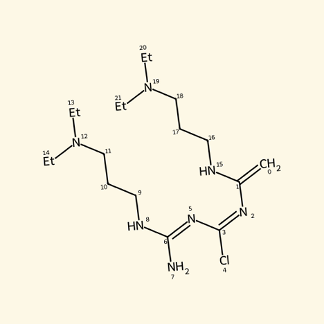 C=C(/N=C(Cl)\N=C(/N)NCCCN(CC)CC)NCCCN(CC)CC